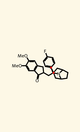 COc1cc2c(cc1OC)C(=O)C(CC1(F)CC3CCC(C1)N3Cc1ccc(F)cc1)C2